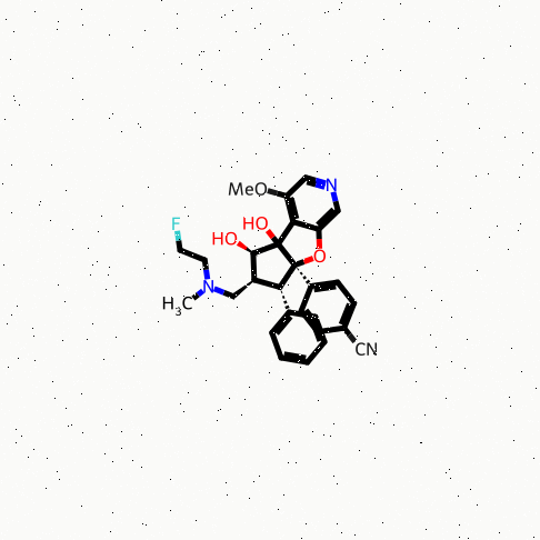 COc1cncc2c1C1(O)[C@H](O)[C@H](CN(C)CCF)[C@@H](c3ccccc3)[C@]1(c1ccc(C#N)cc1)O2